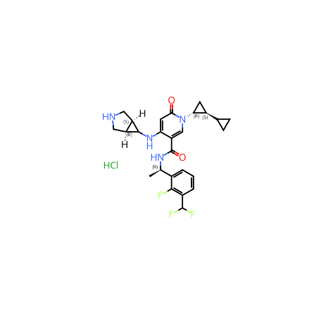 C[C@@H](NC(=O)c1cn([C@@H]2C[C@H]2C2CC2)c(=O)cc1NC1[C@H]2CNC[C@@H]12)c1cccc(C(F)F)c1F.Cl